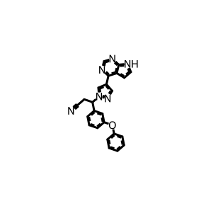 N#CCC(c1cccc(Oc2ccccc2)c1)n1cc(-c2ncnc3[nH]ccc23)cn1